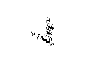 CCCCCC(N)=O.O=C(O)C(F)(F)F.O=C(O)C(F)(F)F